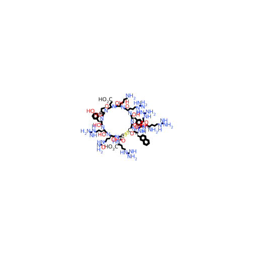 N=C(N)NCCCC1N=C(O)[C@@H](Cc2ccc(O)cc2)N=C(O)C(NC(=O)[C@@H](Cc2ccc3ccccc3c2)NC(=O)[C@H](CCCNC(=N)N)NC(=O)[C@H](N)CCCNC(=N)N)CSSC[C@H](C(=O)N[C@H](CCCNC(=N)N)C(=O)O)N=C(O)[C@@H](CCCNC(N)=O)N=C(O)[C@@H](CCCNC(=N)N)N=C(O)[C@@H](Cc2ccc(O)cc2)N=C(O)[C@@H]2CCCN2C(=O)C(CCC(=O)O)N=C(O)C(CCCCN)N=C1O